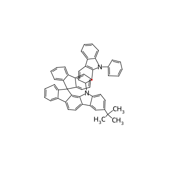 CC(C)(C)c1ccc2c(c1)c1ccc3c(c1n2C1C=Cc2c(n(-c4ccccc4)c4ccccc24)C1)C1(c2ccccc2-c2ccccc21)c1ccccc1-3